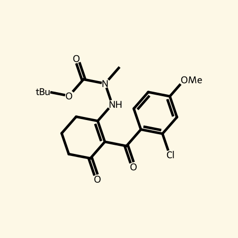 COc1ccc(C(=O)C2=C(NN(C)C(=O)OC(C)(C)C)CCCC2=O)c(Cl)c1